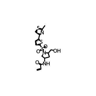 C=CC(=O)NC1CC(CO)N(S(=O)(=O)c2ccc(-c3csc(C)n3)s2)C1